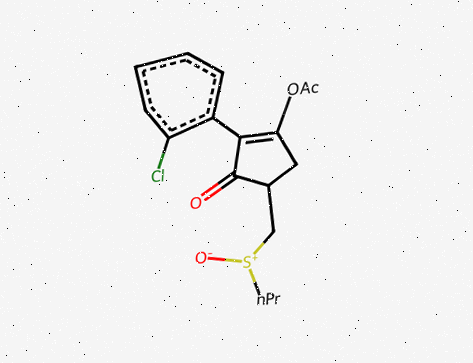 CCC[S+]([O-])CC1CC(OC(C)=O)=C(c2ccccc2Cl)C1=O